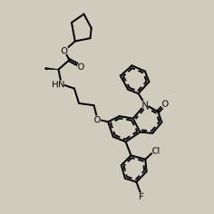 C[C@H](NCCCOc1cc(-c2ccc(F)cc2Cl)c2ccc(=O)n(-c3ccccc3)c2c1)C(=O)OC1CCCC1